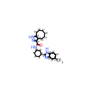 O=C(N[C@@H]1CCC[C@H](c2nc3cc(C(F)(F)F)ccc3[nH]2)C1)c1n[nH]c2c1CCCCCC2